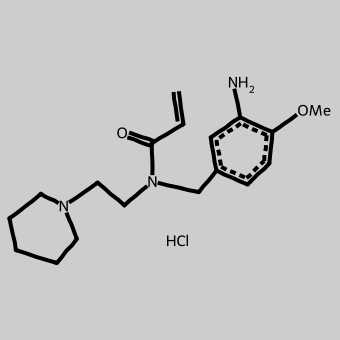 C=CC(=O)N(CCN1CCCCC1)Cc1ccc(OC)c(N)c1.Cl